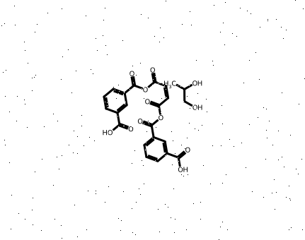 CC(O)CO.O=C(/C=C\C(=O)OC(=O)c1cccc(C(=O)O)c1)OC(=O)c1cccc(C(=O)O)c1